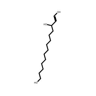 OC=CC(O)CCCCCCCCCCCO